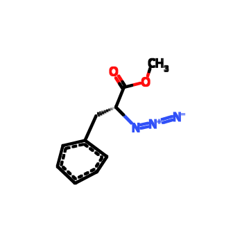 COC(=O)[C@@H](Cc1ccccc1)N=[N+]=[N-]